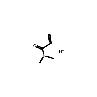 C=CC(=O)N(C)C.[H+]